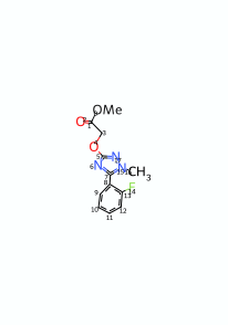 COC(=O)COc1nc(-c2ccccc2F)n(C)n1